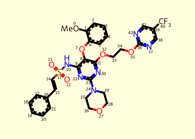 COc1ccccc1Oc1c(NS(=O)(=O)C=Cc2ccccc2)nc(N2CCOCC2)nc1OCCOc1ncc(C(F)(F)F)cn1